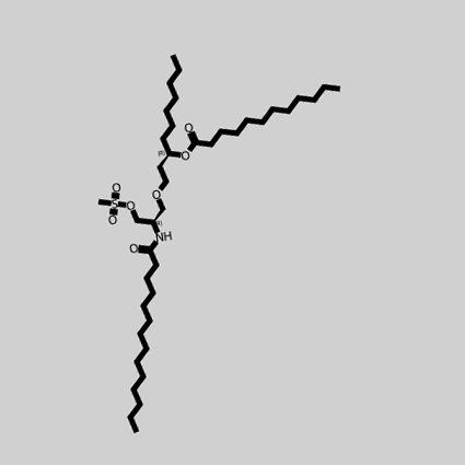 CCCCCCCCCCCCCC(=O)N[C@H](COCC[C@@H](CCCCCCC)OC(=O)CCCCCCCCCCC)COS(C)(=O)=O